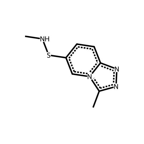 CNSc1ccc2nnc(C)n2c1